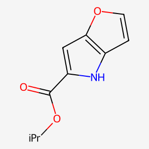 CC(C)OC(=O)c1cc2occc2[nH]1